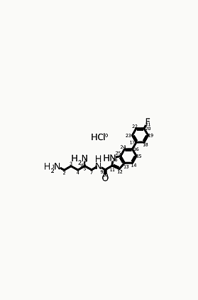 Cl.NCCC[C@@H](N)CNC(=O)c1cc2ccc(-c3ccc(F)cc3)cc2[nH]1